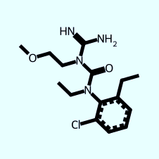 CCc1cccc(Cl)c1N(CC)C(=O)N(CCOC)C(=N)N